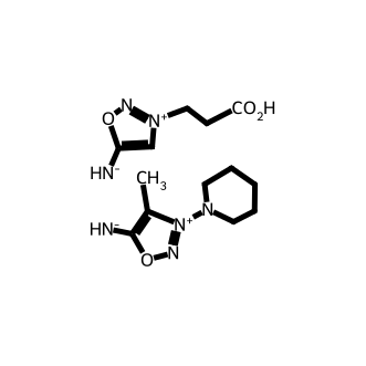 Cc1c([NH-])on[n+]1N1CCCCC1.[NH-]c1c[n+](CCC(=O)O)no1